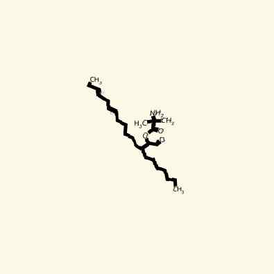 CC/C=C/C/C=C/CCCCCC(CCCCCCC)C(C=O)OC(=O)C(C)(C)N